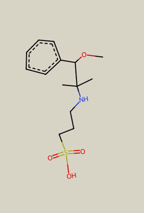 COC(c1ccccc1)C(C)(C)NCCCS(=O)(=O)O